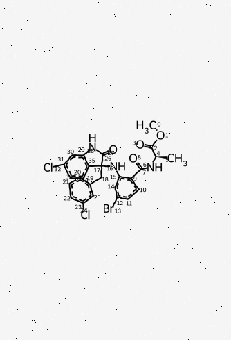 COC(=O)[C@@H](C)NC(=O)c1ccc(Br)cc1NC1(Cc2cccc(Cl)c2)C(=O)Nc2cc(Cl)ccc21